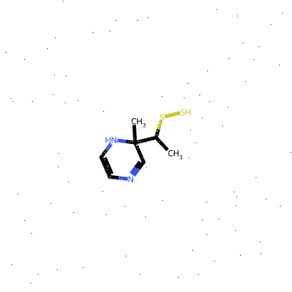 CC(SS)C1(C)C=NC=CN1